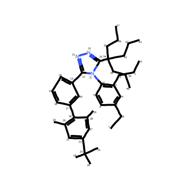 CCCc1cc(CC)ccc1-n1c(-c2cccc(-c3c(C)cc(C(C)(C)C)cc3C)c2)nnc1C(CCC)(CCC)CCC